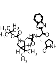 CC(C)(C)OC(=O)N1C[C@H]2[C@@H]([C@H]1CC(=O)N[C@@H](C[C@@H]1CCNC1=O)C(=O)c1nc3ccccc3s1)C2(C)C